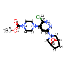 CC(C)(C)OC(=O)N1CCN(c2cc(N3CC4CCC(C3)O4)nnc2Cl)CC1